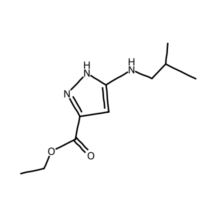 CCOC(=O)c1cc(NCC(C)C)[nH]n1